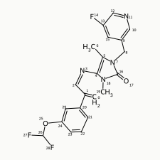 C=C(/C=N\c1c(C)n(Cc2cncc(F)c2)c(=O)n1C)c1cccc(OC(F)F)c1